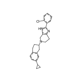 Clc1ccccc1-c1nc2c([nH]1)CN(C1CCc3ccc(C4CC4)cc3C1)CC2